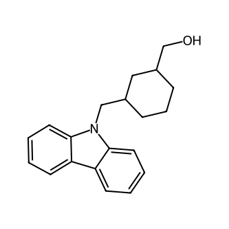 OCC1CCCC(Cn2c3ccccc3c3ccccc32)C1